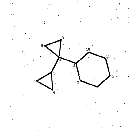 C1CCC(C2(C3CC3)CC2)CC1